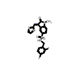 CN1C(=O)/C(=C/c2nccs2)c2cc(S(=O)(=O)NCc3ccc(F)cc3F)ccc21